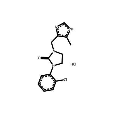 Cc1[nH]cnc1CN1CCN(c2ccccc2Cl)C1=O.Cl